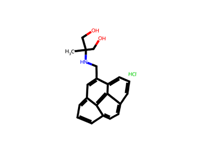 CC(CO)(CO)NCc1cc2cccc3ccc4cccc1c4c32.Cl